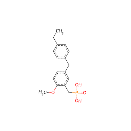 CCc1ccc(Cc2ccc(OC)c(CP(=O)(O)O)c2)cc1